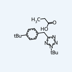 CC(C)(C)c1ccc(Cc2nnn(C(C)(C)C)n2)cc1.CCC(=O)O